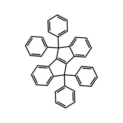 c1ccc(C2(c3ccccc3)C3=C(c4ccccc42)C(c2ccccc2)(c2ccccc2)c2ccccc23)cc1